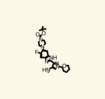 CNc1cn(C2CCCCO2)nc1-c1nc2cc(F)c(N3CCN(C(=O)OC(C)(C)C)CC3)cc2[nH]1